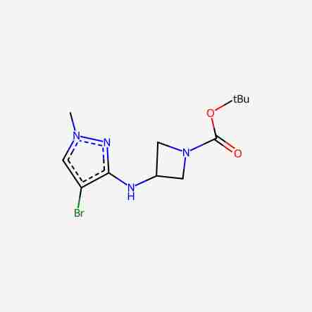 Cn1cc(Br)c(NC2CN(C(=O)OC(C)(C)C)C2)n1